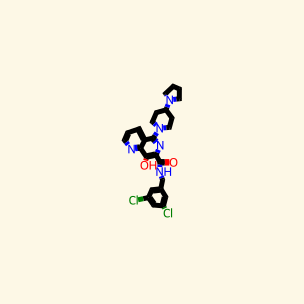 O=C(NCc1cc(Cl)cc(Cl)c1)c1nc(N2CCC(N3CCCC3)CC2)c2cccnc2c1O